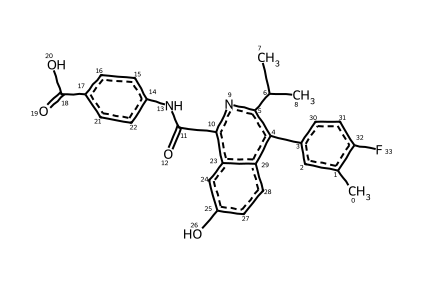 Cc1cc(-c2c(C(C)C)nc(C(=O)Nc3ccc(C(=O)O)cc3)c3cc(O)ccc23)ccc1F